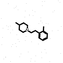 Cc1ccccc1CCN1CCC(C)CC1